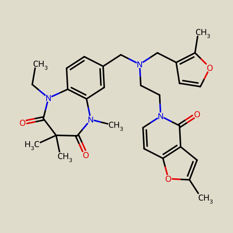 CCN1C(=O)C(C)(C)C(=O)N(C)c2cc(CN(CCn3ccc4oc(C)cc4c3=O)Cc3ccoc3C)ccc21